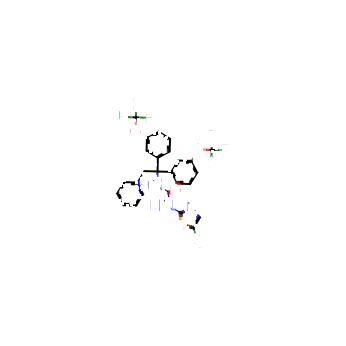 O=C(Nc1ncc(Cl)s1)NC(Cc1ccccc1)(c1cccc(OC(F)(F)F)c1)c1cccc(OC(F)(F)F)c1